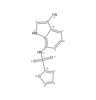 N#Cc1c[nH]c2c(NS(=O)(=O)c3ccco3)cccc12